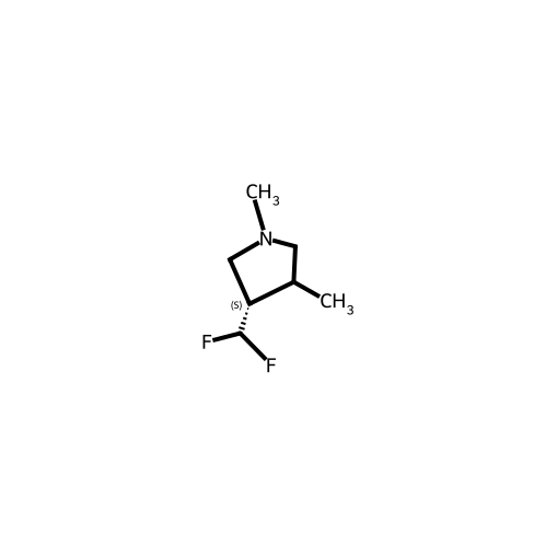 CC1CN(C)C[C@H]1C(F)F